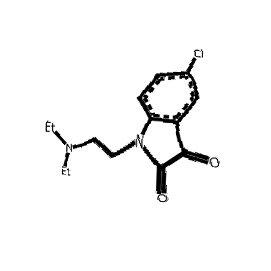 CCN(CC)CCN1C(=O)C(=O)c2cc(Cl)ccc21